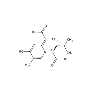 CC(=CN(C=C(C)C(=O)O)[C@@H](CC(C)C)C(=O)O)C(=O)O